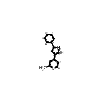 Cc1cc(-c2cc(-c3ccccc3)n[nH]2)ccn1